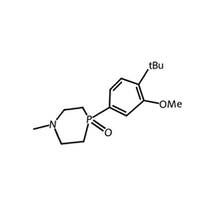 COc1cc(P2(=O)CCN(C)CC2)ccc1C(C)(C)C